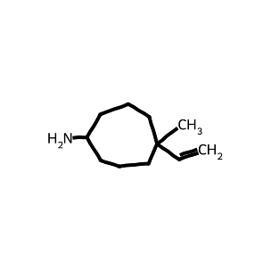 C=CC1(C)CCCC(N)CCC1